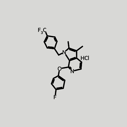 Cc1c(C)n(Cc2ccc(C(F)(F)F)cc2)c2c(Oc3ccc(F)cc3)nccc12.Cl